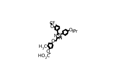 Cc1cc(OCc2nc(-c3cccc(OC(F)(F)F)c3)n(-c3ccc(OC(C)C)cc3)n2)ccc1OCC(=O)O